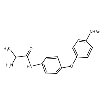 CC(=O)Nc1ccc(Oc2ccc(NC(=O)C(C)N)cc2)cc1